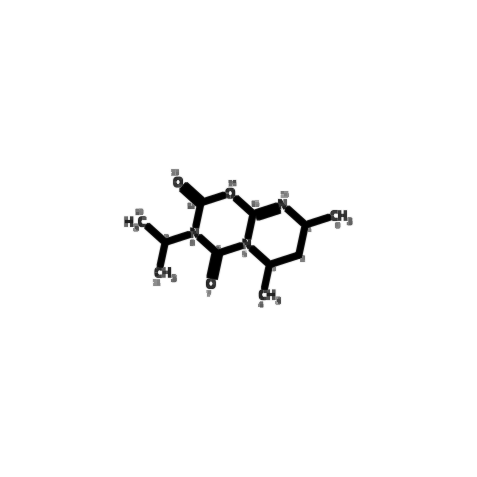 CC1CC(C)N2C(=O)N(C(C)C)C(=O)OC2=N1